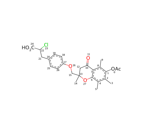 CC(=O)Oc1c(C)c(C)c2c(c1C)C(=O)CC(C)(COc1ccc(CC(Cl)C(=O)O)cc1)O2